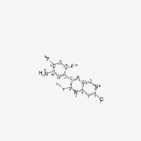 CCc1nc2cc(Cl)ncc2cc1-c1cc(N)c(F)cc1F